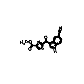 COC(=O)c1csc(C(=O)c2c[nH]c3ccc(C#N)cc23)n1